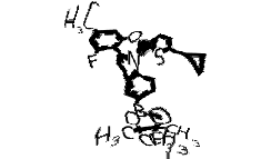 Cc1cc(F)c2c(c1)OC(c1ccc(C3CC3)s1)n1c-2cc2cc(B3OC(C)(C)C(C)(C)O3)ccc21